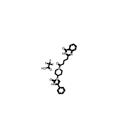 O=C(CCCc1nc2ccccc2c(=O)[nH]1)N1CCC(n2cc(-c3ccccc3)[nH]c2=O)CC1.O=C(O)C(F)(F)F